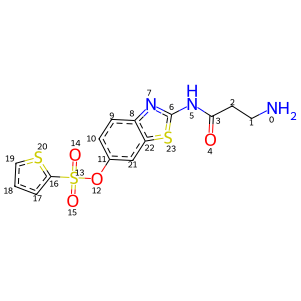 NCCC(=O)Nc1nc2ccc(OS(=O)(=O)c3cccs3)cc2s1